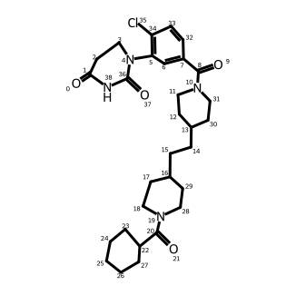 O=C1CCN(c2cc(C(=O)N3CCC(CCC4CCN(C(=O)C5CCCCC5)CC4)CC3)ccc2Cl)C(=O)N1